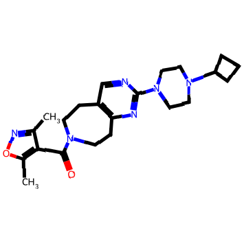 Cc1noc(C)c1C(=O)N1CCc2cnc(N3CCN(C4CCC4)CC3)nc2CC1